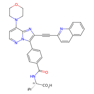 CC(C)[C@H](NC(=O)c1ccc(-c2c(C#Cc3ccc4ccccc4n3)nc3c(N4CCOCC4)ccnn23)cc1)C(=O)O